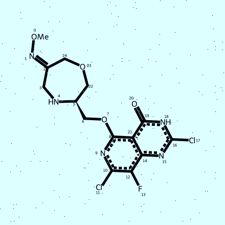 CON=C1CN[C@H](COc2nc(Cl)c(F)c3nc(Cl)[nH]c(=O)c23)COC1